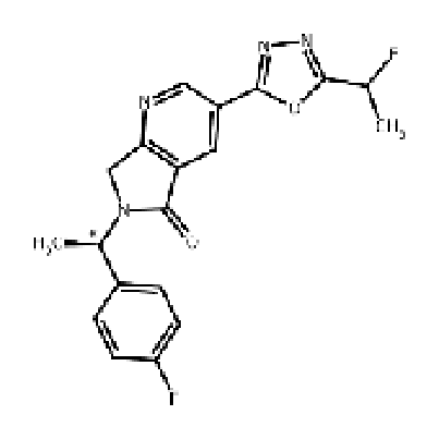 CC(F)c1nnc(-c2cnc3c(c2)C(=O)N([C@H](C)c2ccc(F)cc2)C3)o1